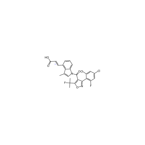 Cc1cn(C(=O)c2c(-c3c(F)cc(Cl)cc3Cl)noc2C(C)(C)F)c2cccc(/C=C/C(=O)O)c12